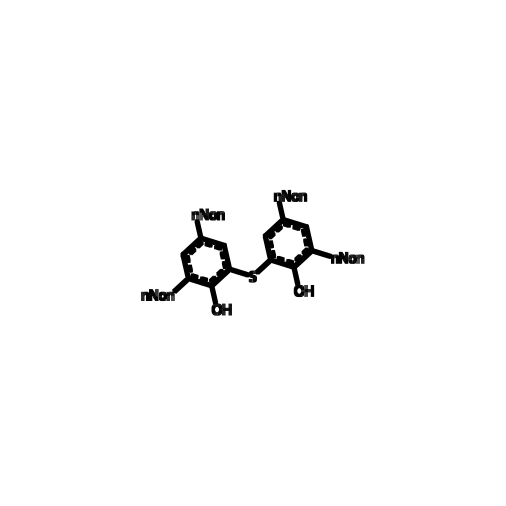 CCCCCCCCCc1cc(CCCCCCCCC)c(O)c(Sc2cc(CCCCCCCCC)cc(CCCCCCCCC)c2O)c1